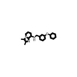 Cc1nc2c(NCc3cccc(Oc4ccccc4)c3)cccn2c1C